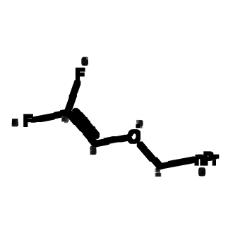 CCCCOC=C(F)F